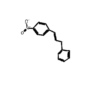 O=[N+]([O-])c1ccc(C=C[CH]c2ccccc2)cc1